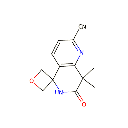 CC1(C)C(=O)NC2(COC2)c2ccc(C#N)nc21